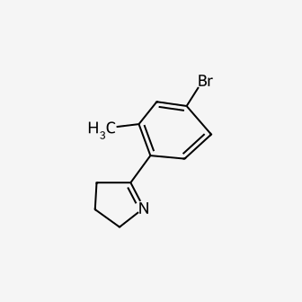 Cc1cc(Br)ccc1C1=NCCC1